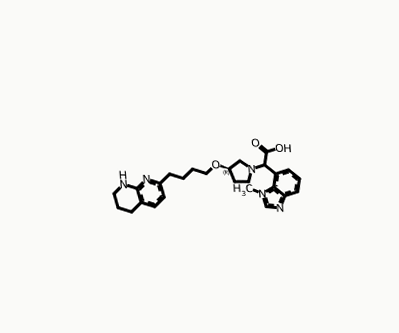 Cn1cnc2cccc(C(C(=O)O)N3CC[C@@H](OCCCCc4ccc5c(n4)NCCC5)C3)c21